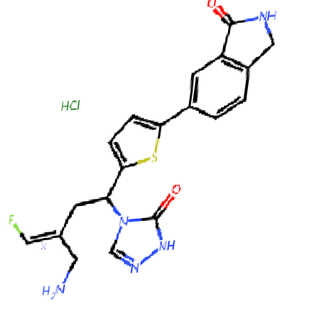 Cl.NC/C(=C/F)CC(c1ccc(-c2ccc3c(c2)C(=O)NC3)s1)n1cn[nH]c1=O